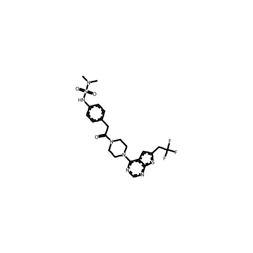 CN(C)S(=O)(=O)Nc1ccc(CC(=O)N2CCN(c3ncnc4sc(CC(F)(F)F)cc34)CC2)cc1